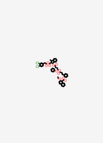 CCOc1ccc2ccccc2c1C(=O)Oc1ccccc1/C=C/C(=O)OC(CCC(=O)OC1C(C(=O)OC(=O)Cc2ccc(Cl)c(Cl)c2)=C(C)c2ccccc21)Oc1ccccc1